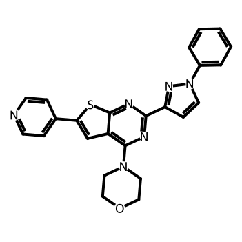 c1ccc(-n2ccc(-c3nc(N4CCOCC4)c4cc(-c5ccncc5)sc4n3)n2)cc1